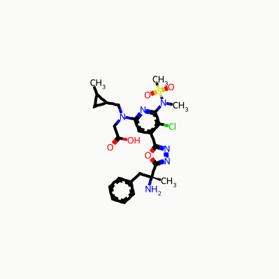 CC1CC1CN(CC(=O)O)c1cc(-c2nnc([C@](C)(N)Cc3ccccc3)o2)c(Cl)c(N(C)S(C)(=O)=O)n1